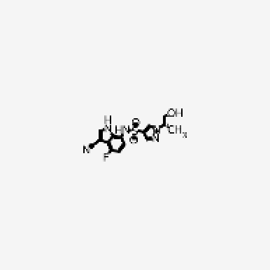 C[C@@H](CO)n1cc(S(=O)(=O)Nc2ccc(F)c3c(C#N)c[nH]c23)cn1